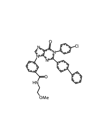 COCCNC(=O)c1cccc(-n2cnc3c(=O)n(-c4ccc(Cl)cc4)c(-c4ccc(-c5ccccc5)cc4)nc32)c1